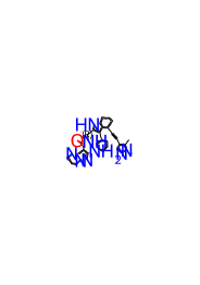 Cc1c(C#Cc2cccc3[nH]c([C@@H](C)NC(=O)c4c(N)nn5cccnc45)c(-c4ccccc4)c23)cnn1C